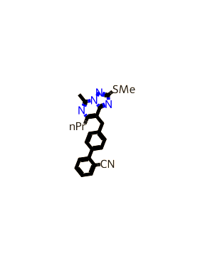 CCCc1nc(C)n2nc(SC)nc2c1Cc1ccc(-c2ccccc2C#N)cc1